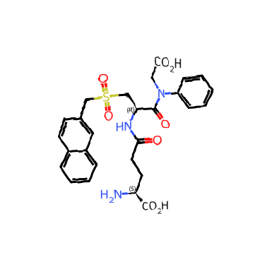 N[C@@H](CCC(=O)N[C@@H](CS(=O)(=O)Cc1ccc2ccccc2c1)C(=O)N(CC(=O)O)c1ccccc1)C(=O)O